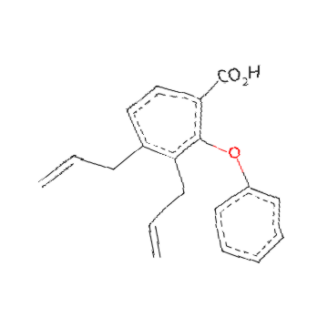 C=CCc1ccc(C(=O)O)c(Oc2ccccc2)c1CC=C